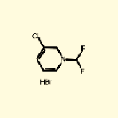 Br.FC(F)N1C=CC=C(Cl)C1